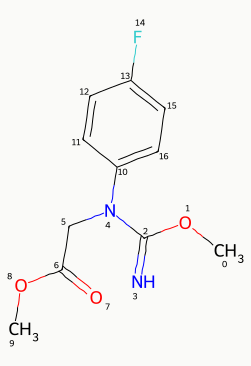 COC(=N)N(CC(=O)OC)c1ccc(F)cc1